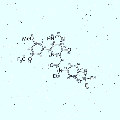 CCN(C(=O)Cn1nc(-c2cc(OC)cc(OC(F)(F)F)c2)c2[nH]cnc2c1=O)c1ccc2c(c1)OC(F)(F)O2